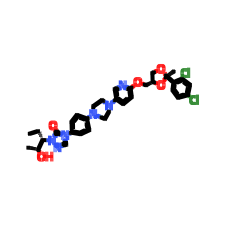 CC[C@@H]([C@H](C)O)n1ncn(-c2ccc(N3CCN(c4ccc(OC[C@H]5CO[C@](C)(c6ccc(Cl)cc6Cl)O5)nc4)CC3)cc2)c1=O